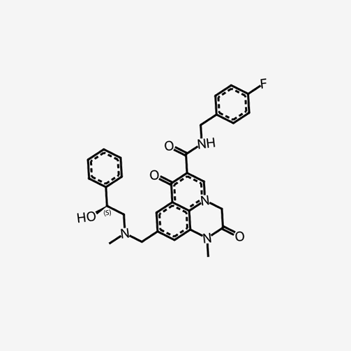 CN(Cc1cc2c3c(c1)c(=O)c(C(=O)NCc1ccc(F)cc1)cn3CC(=O)N2C)C[C@@H](O)c1ccccc1